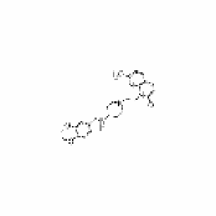 Cc1ccc2ccc(=O)n(CCN3CCC(NCc4ccc5c(c4)OCCO5)CC3)c2n1